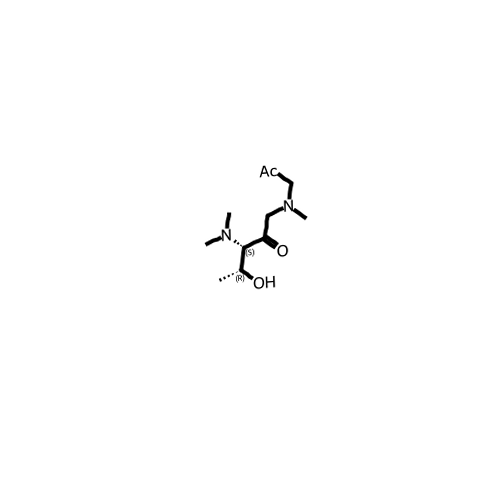 CC(=O)CN(C)CC(=O)[C@H]([C@@H](C)O)N(C)C